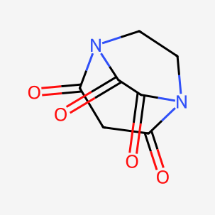 O=C1CC(=O)N2CCN1C(=O)C2=O